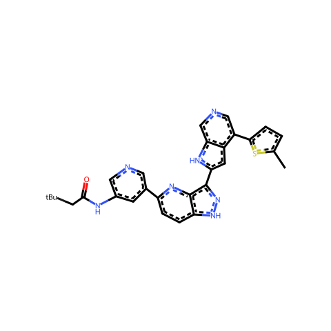 Cc1ccc(-c2cncc3[nH]c(-c4n[nH]c5ccc(-c6cncc(NC(=O)CC(C)(C)C)c6)nc45)cc23)s1